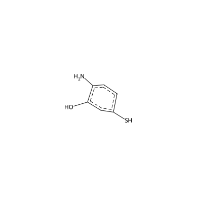 Nc1ccc(S)cc1O